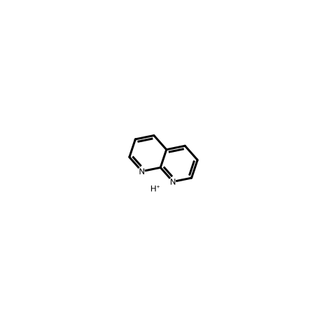 [H+].c1cnc2ncccc2c1